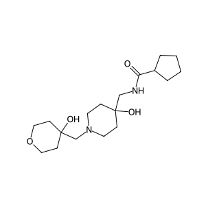 O=C(NCC1(O)CCN(CC2(O)CCOCC2)CC1)C1CCCC1